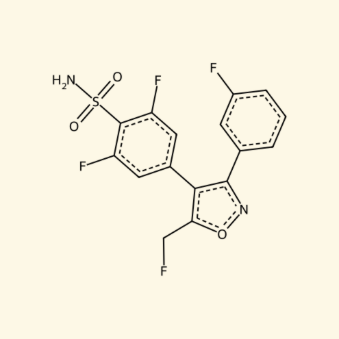 NS(=O)(=O)c1c(F)cc(-c2c(-c3cccc(F)c3)noc2CF)cc1F